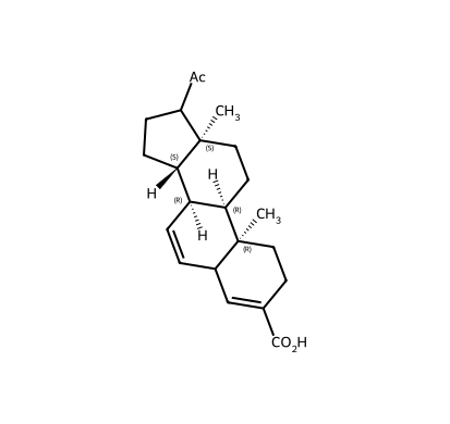 CC(=O)C1CC[C@H]2[C@@H]3C=CC4C=C(C(=O)O)CC[C@]4(C)[C@@H]3CC[C@]12C